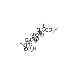 C#Cc1cc(C(=O)O)cc(N2C(=O)c3cc4c(cc3C2=O)S(=O)(=O)c2cc3c(cc2[S+]4[O-])C(=O)N(c2cc(C#C)cc(C(=O)O)c2)C3=O)c1